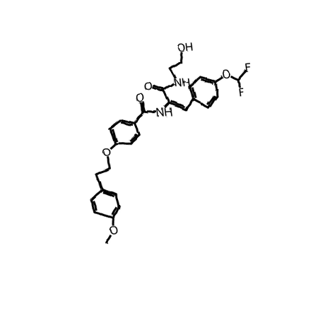 COc1ccc(CCOc2ccc(C(=O)N/C(=C/c3ccc(OC(F)F)cc3)C(=O)NCCO)cc2)cc1